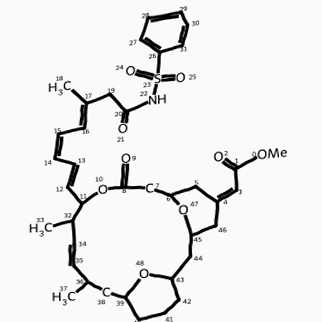 COC(=O)/C=C1\CC2CC(=O)OC(/C=C/C=C\C=C(/C)CC(=O)NS(=O)(=O)c3ccccc3)C(C)/C=C/C(C)CC3CCCC(CC(C1)O2)O3